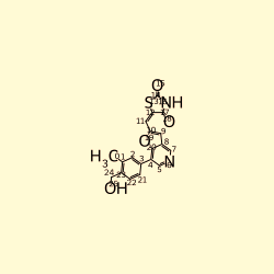 Cc1cc(-c2cncc3cc(C=C4SC(=O)NC4=O)oc23)ccc1CO